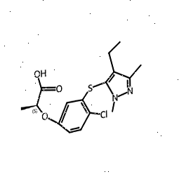 CCc1c(C)nn(C)c1Sc1cc(O[C@@H](C)C(=O)O)ccc1Cl